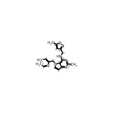 C/C=N\C(=C/C)Cn1ccc2nc(C)nc(NCc3cc(C)on3)c21